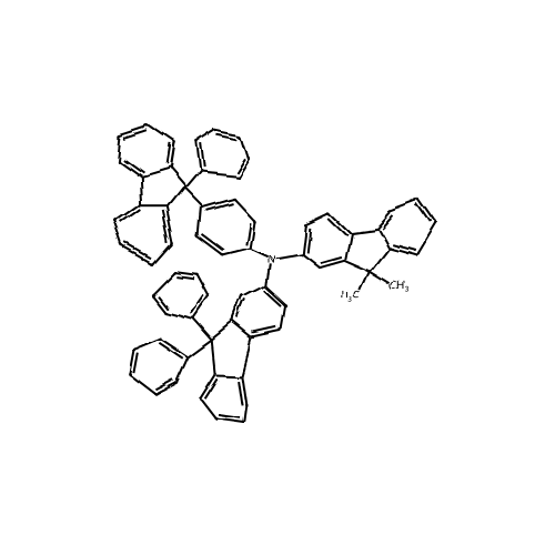 CC1(C)c2ccccc2-c2ccc(N(c3ccc(C4(c5ccccc5)c5ccccc5-c5ccccc54)cc3)c3ccc4c(c3)C(c3ccccc3)(c3ccccc3)c3ccccc3-4)cc21